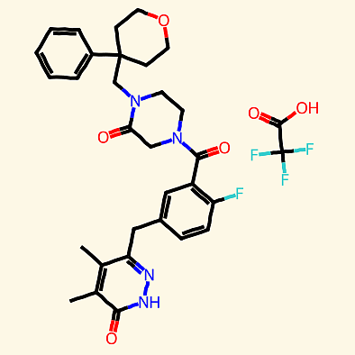 Cc1c(Cc2ccc(F)c(C(=O)N3CCN(CC4(c5ccccc5)CCOCC4)C(=O)C3)c2)n[nH]c(=O)c1C.O=C(O)C(F)(F)F